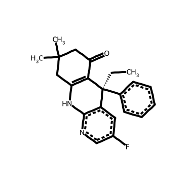 CC[C@@]1(c2ccccc2)C2=C(CC(C)(C)CC2=O)Nc2ncc(F)cc21